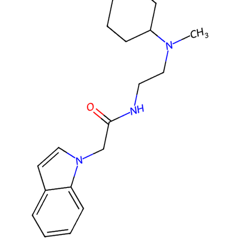 CN(CCNC(=O)Cn1ccc2ccccc21)C1CCCCC1